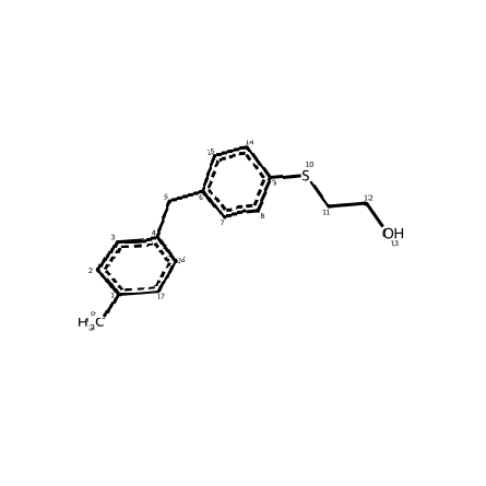 Cc1ccc(Cc2ccc(SCCO)cc2)cc1